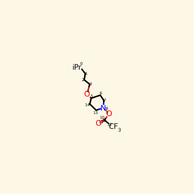 CC(C)CCCOC1CCN(OC(=O)C(F)(F)F)CC1